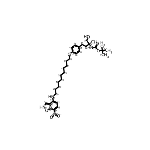 CC(C)(C)OC(=O)N[C@@](C)(CO)CCc1ccc(OCCCCCCCCCCCNC2=CC=C([N+](=O)[O-])N3ONC=C23)cc1